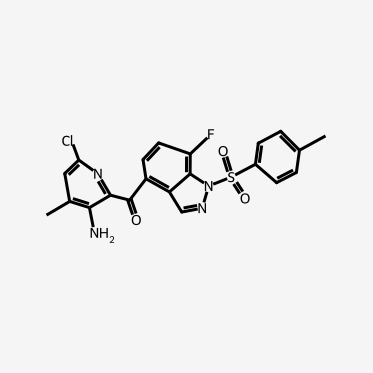 Cc1ccc(S(=O)(=O)n2ncc3c(C(=O)c4nc(Cl)cc(C)c4N)ccc(F)c32)cc1